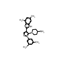 Cc1cc(C)cc(-n2ncc(-c3nc4c(C)cc(C)cc4[nH]3)c2N2CCC(N)CC2)c1